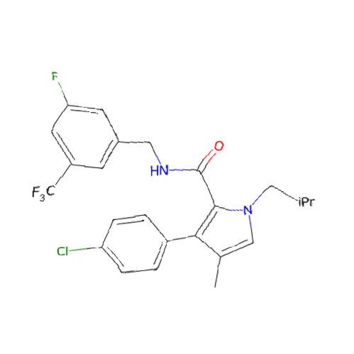 Cc1cn(CC(C)C)c(C(=O)NCc2cc(F)cc(C(F)(F)F)c2)c1-c1ccc(Cl)cc1